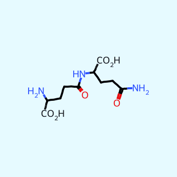 NC(=O)CCC(NC(=O)CCC(N)C(=O)O)C(=O)O